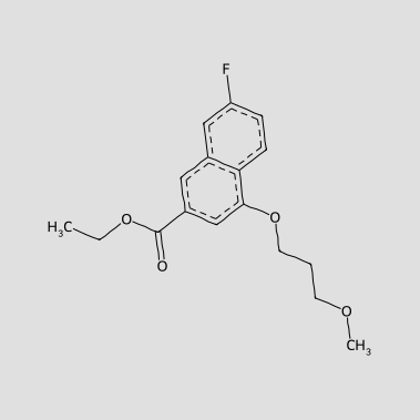 CCOC(=O)c1cc(OCCCOC)c2ccc(F)cc2c1